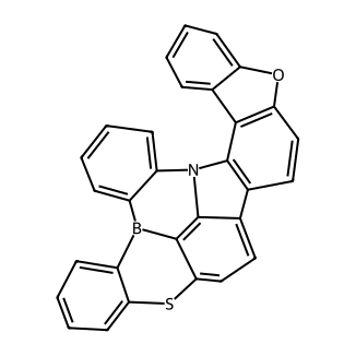 c1ccc2c(c1)Sc1ccc3c4ccc5oc6ccccc6c5c4n4c3c1B2c1ccccc1-4